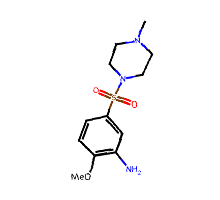 COc1ccc(S(=O)(=O)N2CCN(C)CC2)cc1N